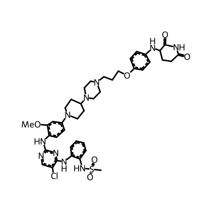 COc1cc(N2CCC(N3CCN(CCCOc4ccc(NC5CCC(=O)NC5=O)cc4)CC3)CC2)ccc1Nc1ncc(Cl)c(Nc2ccccc2NS(C)(=O)=O)n1